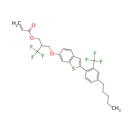 C=CC(=O)OCC(COc1ccc2cc(-c3ccc(CCCCC)cc3C(F)(F)F)sc2c1)C(F)(F)F